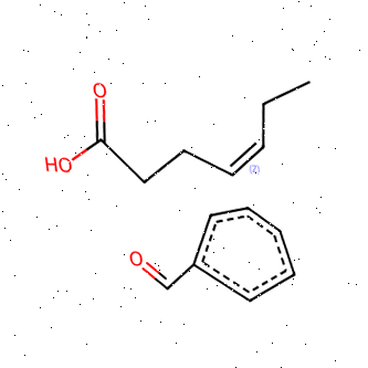 CC/C=C\CCC(=O)O.O=Cc1ccccc1